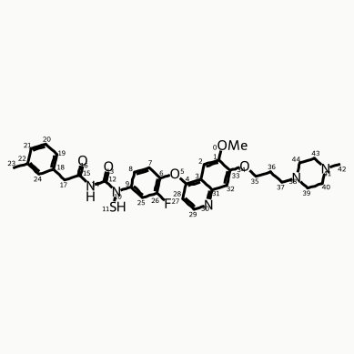 COc1cc2c(Oc3ccc(N(S)C(=O)NC(=O)Cc4cccc(C)c4)cc3F)ccnc2cc1OCCCN1CCN(C)CC1